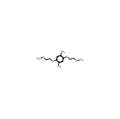 COCCOc1cc(C)c(OCCOC)cc1C